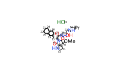 COC(C)(C)C(=O)N(C(=O)[C@@H]1CCCN1)[C@H](Cc1ccc2ccccc2c1)C(=O)NCC(O)CNCC(C)C.Cl